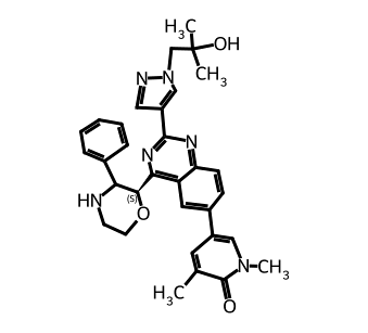 Cc1cc(-c2ccc3nc(-c4cnn(CC(C)(C)O)c4)nc([C@H]4OCCNC4c4ccccc4)c3c2)cn(C)c1=O